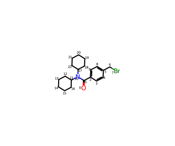 O=C(c1ccc(CBr)cc1)N(C1CCCCC1)C1CCCCC1